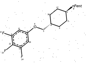 CCCCC[C@H]1CC[C@H](COc2cc(F)c(F)c(F)c2)CC1